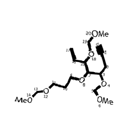 C#CCC(OCOC)C(OCCCOCOC)C(C=C)OCOC